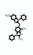 Cc1ccc2c(c1)nc(Cc1ccc3c(nc(C)n3-c3ccccc3)c1C)n2-c1ccccc1